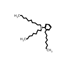 CCCCCCCCCCN(CCCCCCCC)c1ccccc1CCCCCCCC